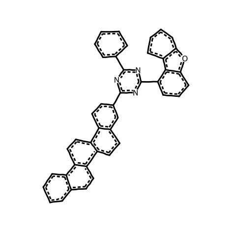 c1ccc(-c2nc(-c3ccc4c(ccc5c4ccc4c6ccccc6ccc45)c3)nc(-c3cccc4oc5ccccc5c34)n2)cc1